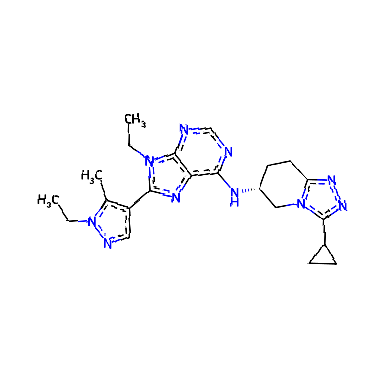 CCn1ncc(-c2nc3c(N[C@@H]4CCc5nnc(C6CC6)n5C4)ncnc3n2CC)c1C